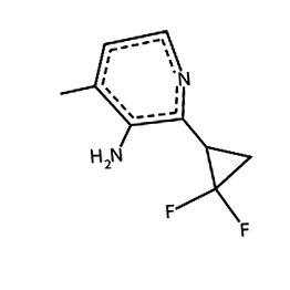 Cc1ccnc(C2CC2(F)F)c1N